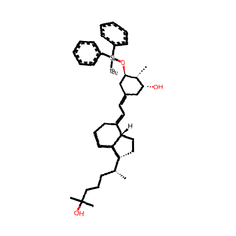 C[C@@H]1[C@H](O)C/C(=C\C=C2/CCCC3[C@H]2CC[C@@H]3[C@H](C)CCCC(C)(C)O)C[C@H]1O[Si](c1ccccc1)(c1ccccc1)C(C)(C)C